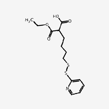 CCOC(=O)C(CCCCSSc1ccccn1)C(=O)O